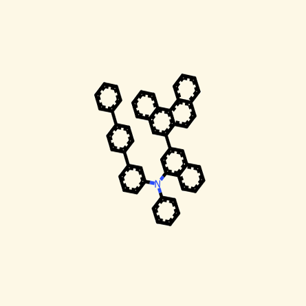 c1ccc(-c2ccc(-c3cccc(N(c4ccccc4)c4cc(-c5cc6ccccc6c6c5ccc5ccccc56)cc5ccccc45)c3)cc2)cc1